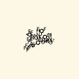 Cn1nc(N[S+](C)[O-])c2c(Cl)ccc(-n3c(C(Cc4cc(F)cc(F)c4)NC(=O)Cn4nc(C(F)(F)F)c5c4C(F)(F)C4CC54)nc4cc(-c5ccn(CC(F)(F)C(F)F)n5)ccc4c3=O)c21